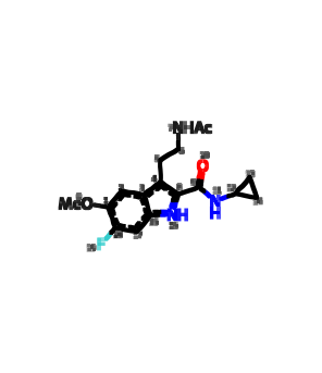 COc1cc2c(CCNC(C)=O)c(C(=O)NC3CC3)[nH]c2cc1F